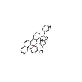 O=C(c1cccnc1)C1(n2ccnc2)CCCc2c1ccc1c2C=CC2=CC=CCC21c1ccc(Cl)cc1